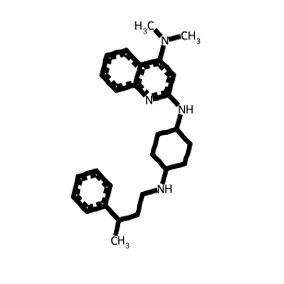 CC(CCNC1CCC(Nc2cc(N(C)C)c3ccccc3n2)CC1)c1ccccc1